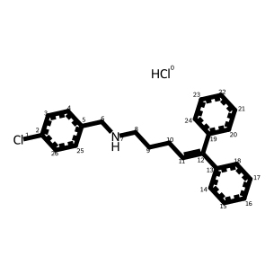 Cl.Clc1ccc(CNCCCC=C(c2ccccc2)c2ccccc2)cc1